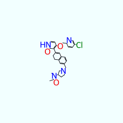 CC(=O)N(C)C1CCN(Cc2ccc3c(c2)CCC(c2c(OCc4ccc(Cl)cn4)cc[nH]c2=O)=C3)C1